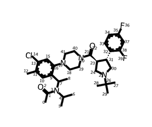 CC(=O)N(C(C)C)C(C)c1cc(C)c(Cl)cc1N1CCN(C(=O)[C@@H]2CN(C(C)(C)C)C[C@H]2c2ccc(F)cc2F)CC1